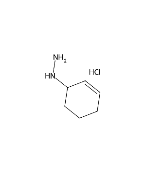 Cl.NNC1C=CCCC1